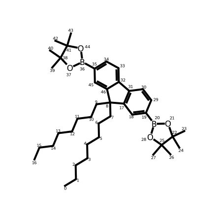 CCCCCCCCC1(CCCCCCCC)c2cc(B3OC(C)(C)C(C)(C)O3)ccc2-c2ccc(B3OC(C)(C)C(C)(C)O3)cc21